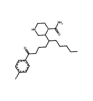 CCCCCC(CCCC(=O)c1ccc(F)cc1)C1CNCCN1C(N)=O